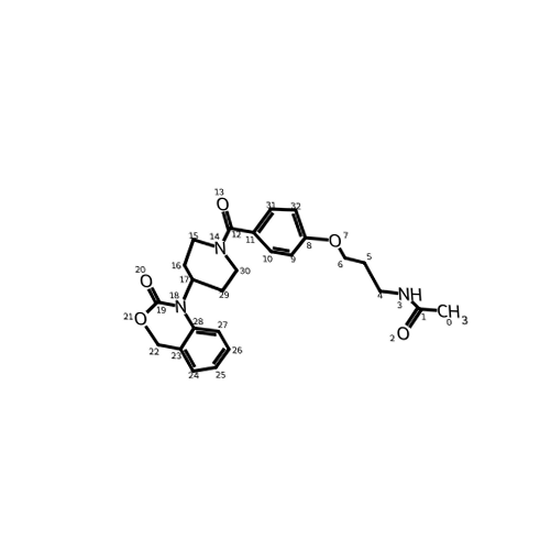 CC(=O)NCCCOc1ccc(C(=O)N2CCC(N3C(=O)OCc4ccccc43)CC2)cc1